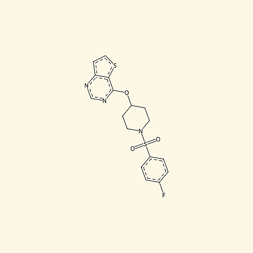 O=S(=O)(c1ccc(F)cc1)N1CCC(Oc2ncnc3ccsc23)CC1